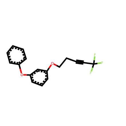 FC(F)(F)C#CCCOc1cc[c]c(Oc2ccccc2)c1